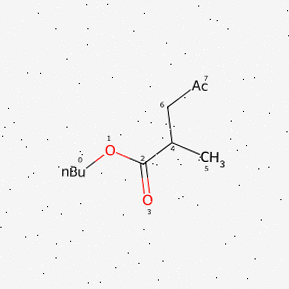 CCCCOC(=O)C(C)CC(C)=O